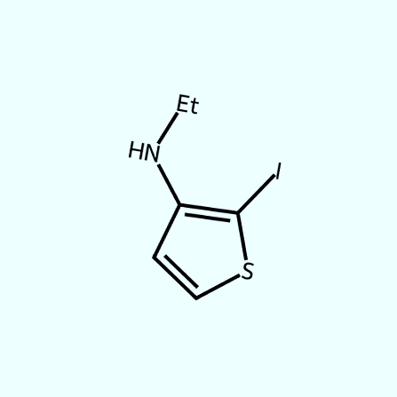 CCNc1ccsc1I